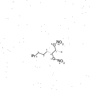 CC(C)CCC[C@@H](O[N+](=O)[O-])[C@@H](C)O[N+](=O)[O-]